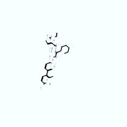 CCn1nccc1C(=O)N[C@H](C(=O)Nc1ccc(-c2ccc(=O)n(C)c2C)cn1)[C@H]1CC[C@H](C)CC1